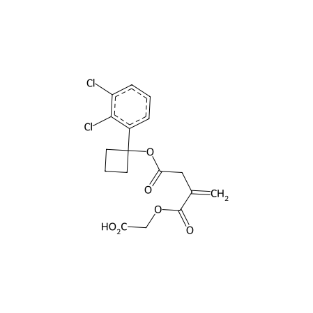 C=C(CC(=O)OC1(c2cccc(Cl)c2Cl)CCC1)C(=O)OCC(=O)O